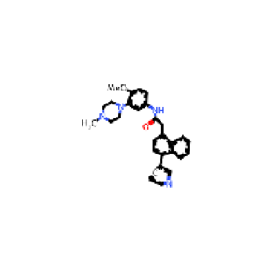 COc1ccc(NC(=O)Cc2ccc(-c3cccnc3)c3ccccc23)cc1N1CCN(C)CC1